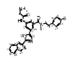 NCC(=O)Nc1cc(C(=O)NCCc2ccc(F)cc2)cc(-c2cnc(-c3cc4ccccc4cn3)[nH]2)c1